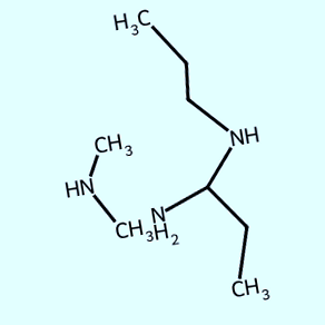 CCCNC(N)CC.CNC